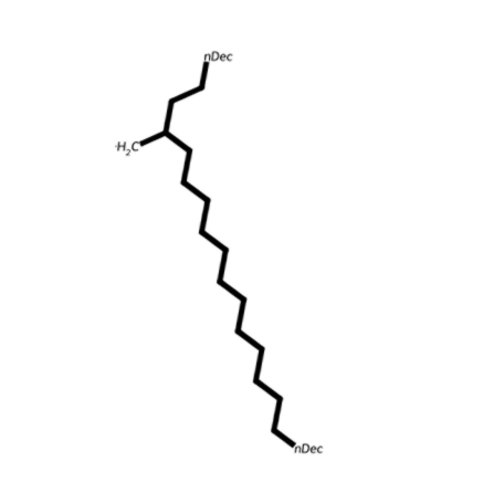 [CH2]C(CCCCCCCCCCCC)CCCCCCCCCCCCCCCCCCCCCC